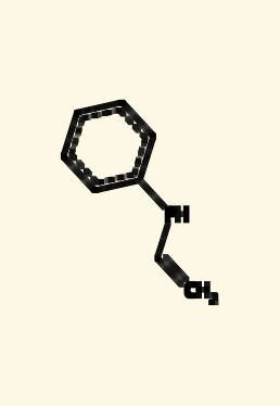 C=CPc1ccccc1